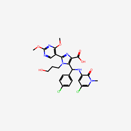 COc1ncc(-c2nc(C(=O)O)c(C(Nc3cc(Cl)cn(C)c3=O)c3ccc(Cl)cc3)n2CCCO)c(OC)n1